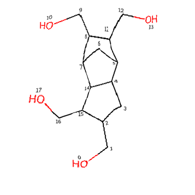 OCC1CC2C3CC(C(CO)C3CO)C2C1CO